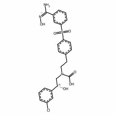 N/C(=N/O)c1cccc(S(=O)(=O)c2ccc(CCN(C[C@H](O)c3cccc(Cl)c3)C(=O)O)cc2)c1